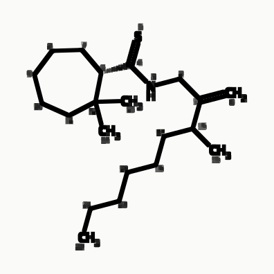 C=C(CNC(=S)[C@H]1CCCCCC1(C)C)C(C)CCCCCC